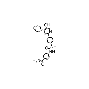 Cc1cnc(-c2ccc(NC(=O)Nc3ccc(C(N)=O)cc3)cc2)nc1N1CCOCC1